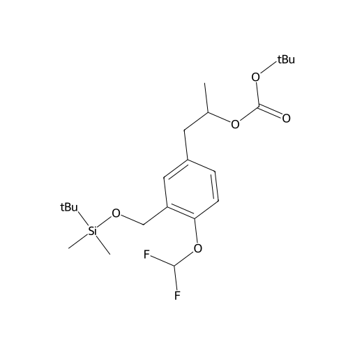 CC(Cc1ccc(OC(F)F)c(CO[Si](C)(C)C(C)(C)C)c1)OC(=O)OC(C)(C)C